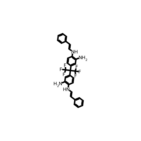 Nc1cc(C(c2ccc(NC=Cc3ccccc3)c(N)c2)(C(F)(F)F)C(F)(F)F)ccc1NC=Cc1ccccc1